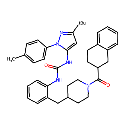 Cc1ccc(-n2nc(C(C)(C)C)cc2NC(=O)Nc2ccccc2CC2CCN(C(=O)C3CCc4ccccc4C3)CC2)cc1